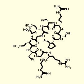 CC(=O)N1CCC[C@H]1C(=O)N[C@@H](CO)C(=O)N[C@@H](CCCNC(=N)N)C(=O)N[C@@H](CC(C)C)C(=O)N[C@@H](CCC(=O)O)C(=O)N[C@@H](CCC(=O)O)C(=O)N[C@@H](CCC(=O)O)C(=O)N[C@@H](CC(C)C)C(=O)N[C@@H](CCCNC(=N)N)C(=O)N[C@@H](CCCNC(=N)N)C(=O)O